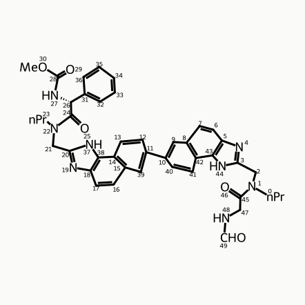 CCCN(Cc1nc2ccc3cc(-c4ccc5c(ccc6nc(CN(CCC)C(=O)[C@H](NC(=O)OC)c7ccccc7)[nH]c65)c4)ccc3c2[nH]1)C(=O)CNC=O